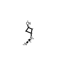 N#CC1CC(N=[N+]=[N-])C1